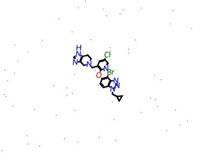 Clc1cnc(Oc2ccc3c(nnn3CC3CC3)c2Br)c(CN2CCc3[nH]cnc3C2)c1